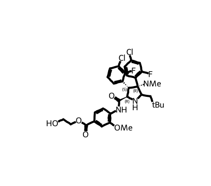 CN[C@]1(c2ccc(Cl)cc2F)C(CC(C)(C)C)N[C@@H](C(=O)Nc2ccc(C(=O)OCCO)cc2OC)[C@@H]1c1cccc(Cl)c1F